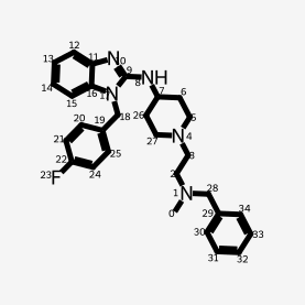 CN(CCN1CCC(Nc2nc3ccccc3n2Cc2ccc(F)cc2)CC1)Cc1ccccc1